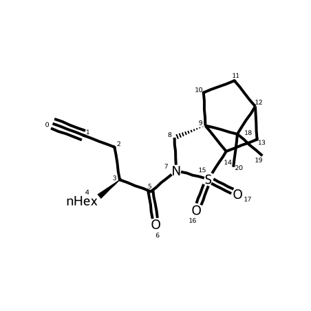 C#CC[C@H](CCCCCC)C(=O)N1C[C@@]23CCC(CC2S1(=O)=O)C3(C)C